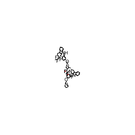 C[C@@H]1Cc2c([nH]c3ccccc23)[C@@H](c2c(F)cc(OCCN3CC(CF)C3C[C@@H]3Cc4c([nH]c5ccccc45)[C@@H](c4c(F)cc(OCCN5CCCC5)cc4F)N3CC(C)(F)F)cc2F)N1CC(C)(F)F